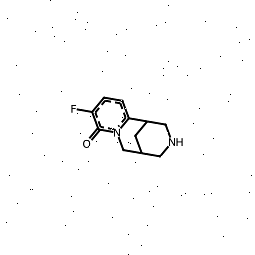 O=c1c(F)ccc2n1CC1CNCC2C1